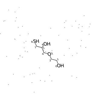 OCCOCC(O)CS